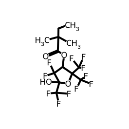 CCC(C)(C)C(=O)OC1C(F)(F)C(O)(C(F)(F)F)OC1(C(F)(F)F)C(F)(F)F